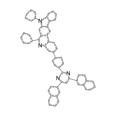 c1ccc(-c2nc3cc(-c4ccc(-c5nc(-c6ccc7ccccc7c6)cc(-c6ccc7ccccc7c6)n5)cc4)ccc3c3cc4c5ccccc5n(-c5ccccc5)c4cc23)cc1